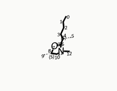 CCCC[C@H](C)[C@@H]1O[C@@H](C)CN1C